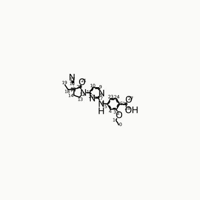 CCOc1cc(Nc2nccc(N3CC[C@@](C#N)(CC)C3=O)n2)ccc1C(=O)O